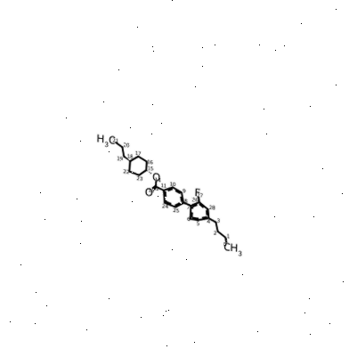 CCCCc1ccc(-c2ccc(C(=O)O[C@H]3CC[C@H](CCC)CC3)cc2)c(F)c1